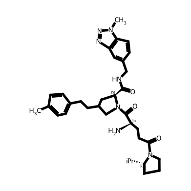 Cc1ccc(CCC2C[C@@H](C(=O)NCc3ccc4c(c3)nnn4C)N(C(=O)[C@H](N)CCC(=O)N3CCC[C@@H]3C(C)C)C2)cc1